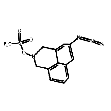 [N-]=[N+]=Nc1cc2c3c(cccc3c1)CN(OS(=O)(=O)C(F)(F)F)C2